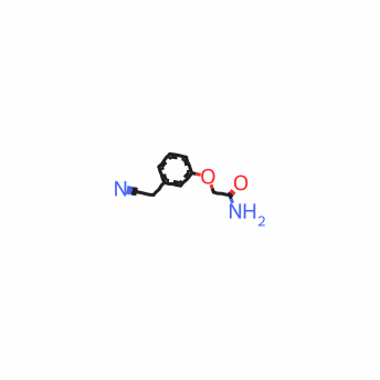 N#CCc1cccc(OCC(N)=O)c1